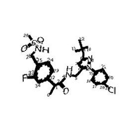 CC(C(=O)NCc1cc(C(C)(C)C)nn1-c1ccc(Cl)cc1)c1ccc(CNS(C)(=O)=O)c(F)c1